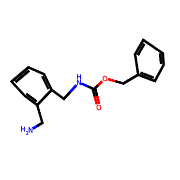 NCc1ccccc1CNC(=O)OCc1ccccc1